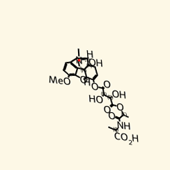 COc1ccc2c3c1O[C@@H]1C(OC(=O)[C@H](O)[C@@H](O)C(=O)O[C@@H](C)C(=O)N[C@@H](C)C(=O)O)=CC[C@]4(O)[C@H](C2)N(C)CC[C@@]314